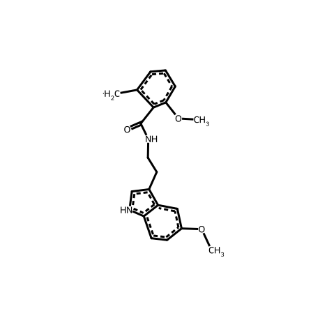 [CH2]c1cccc(OC)c1C(=O)NCCc1c[nH]c2ccc(OC)cc12